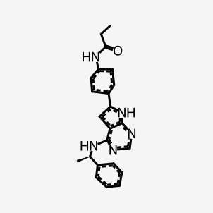 CCC(=O)Nc1ccc(-c2cc3c(N[C@H](C)c4ccccc4)ncnc3[nH]2)cc1